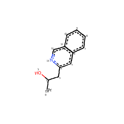 CCCC(O)Cc1cc2ccccc2cn1